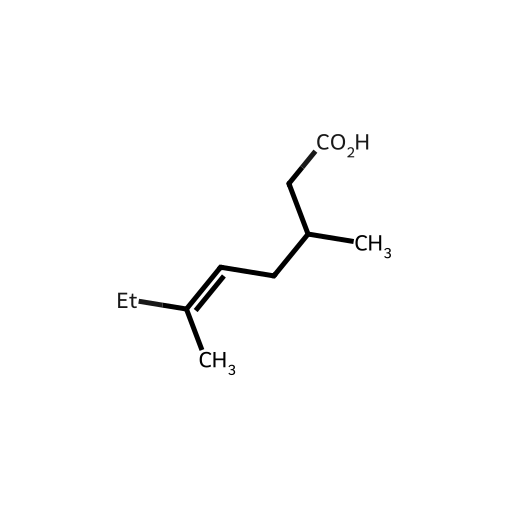 CCC(C)=CCC(C)CC(=O)O